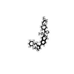 Cn1ncc(-c2ccc3cnc(NC(=O)C4CCN(CC(F)F)CC4)cc3c2)c1CN1CCCCC1